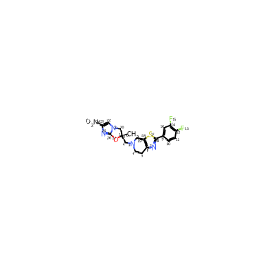 C[C@]1(CN2CCc3nc(-c4ccc(F)c(F)c4)sc3C2)Cn2cc([N+](=O)[O-])nc2O1